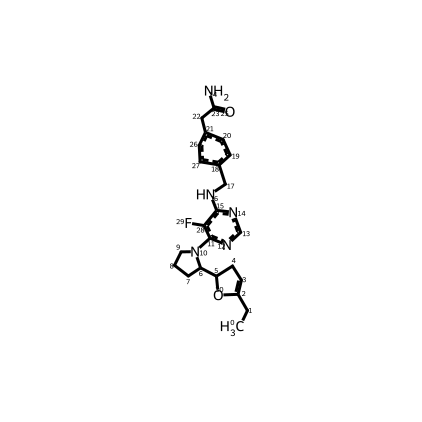 CCC1=CCC(C2CCCN2c2ncnc(NCc3ccc(CC(N)=O)cc3)c2F)O1